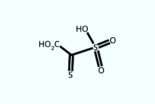 O=C(O)C(=S)S(=O)(=O)O